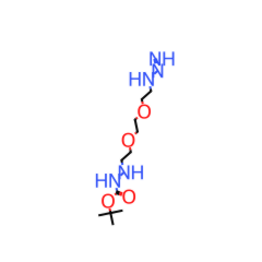 CC(C)(C)OC(=O)NNCCOCCOCCNN=N